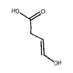 O=C(O)C/C=C/O